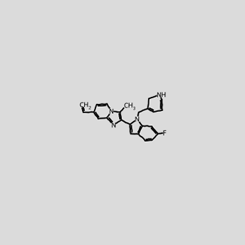 C=Cc1ccn2c(C)c(-c3cc4ccc(F)cc4n3CC3=CC=CNC3)nc2c1